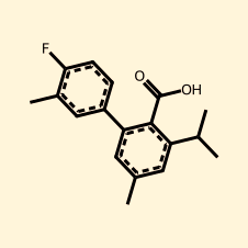 Cc1cc(-c2ccc(F)c(C)c2)c(C(=O)O)c(C(C)C)c1